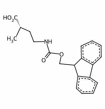 C[C@@H](CCNC(=O)OCC1c2ccccc2-c2ccccc21)C(=O)O